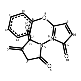 C=C1CC(=O)N([N+]2=C(Oc3ccccc3)C=CC2=O)C1=O